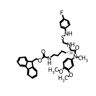 COc1ccc(N(C)C(=O)[C@H](CCCCNC(=O)OCC2c3ccccc3-c3ccccc32)NCSNc2ccc(F)cc2)cc1OC